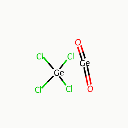 [Cl][Ge]([Cl])([Cl])[Cl].[O]=[Ge]=[O]